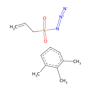 C=CCS(=O)(=O)N=[N+]=[N-].Cc1cccc(C)c1C